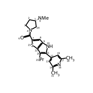 CN[C@H]1CCN(C(=O)c2cc3[nH]c(-c4cc(C)nc(C)c4)c(C(C)C)c3s2)C1